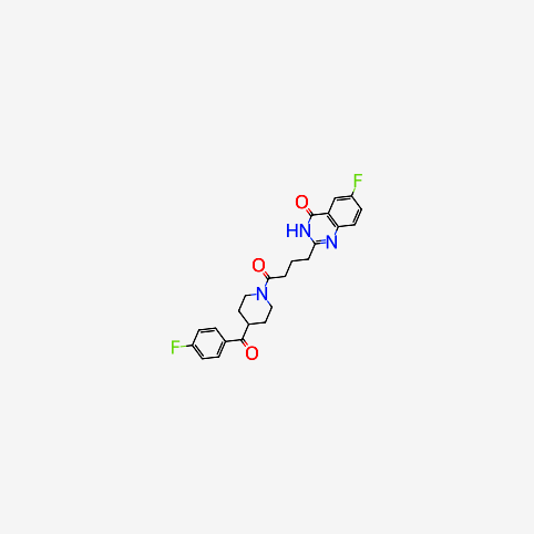 O=C(c1ccc(F)cc1)C1CCN(C(=O)CCCc2nc3ccc(F)cc3c(=O)[nH]2)CC1